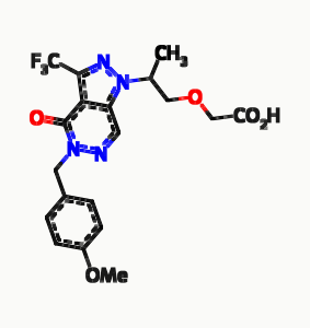 COc1ccc(Cn2ncc3c(c(C(F)(F)F)nn3C(C)COCC(=O)O)c2=O)cc1